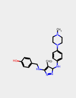 CN1CCN(c2ccc(NC3N=NC(NCc4ccc(O)cc4)=C3[C]=O)cc2)CC1